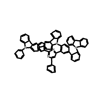 c1ccc(-c2cc(-c3cc(-c4ccccc4-n4c5ccccc5c5ccccc54)ccc3-n3c4ccccc4c4cc(-c5ccc6c(c5)c5ccccc5n6-c5ccccc5)ccc43)nc(-c3ccccc3)n2)cc1